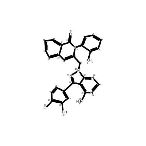 Cc1ccccc1-n1c(Cn2nc(-c3ccc(Cl)c(O)c3)c3c(N)ncnc32)cc2ccccc2c1=O